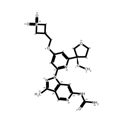 CO[C@]1(c2cc(OCC3CS(=O)(=O)C3)cc(-n3nc(C)c4cnc(NC(N)=O)cc43)n2)CCOC1